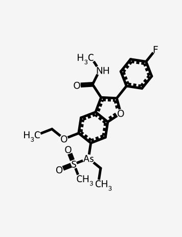 CCOc1cc2c(C(=O)NC)c(-c3ccc(F)cc3)oc2cc1[As](CC)S(C)(=O)=O